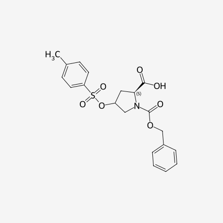 Cc1ccc(S(=O)(=O)OC2C[C@@H](C(=O)O)N(C(=O)OCc3ccccc3)C2)cc1